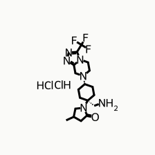 CC1CC(=O)N([C@]2(CN)CC[C@@H](N3CCn4c(nnc4C(F)(F)F)C3)CC2)C1.Cl.Cl